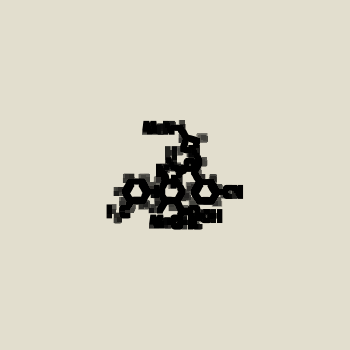 CNCC1CN(CCc2cc(C#N)ccc2[C@@H]2C(C(=O)OC)=C(C)N(c3cccc(C(F)(F)F)c3)c3n[nH]c(=O)n32)C1.O=CO